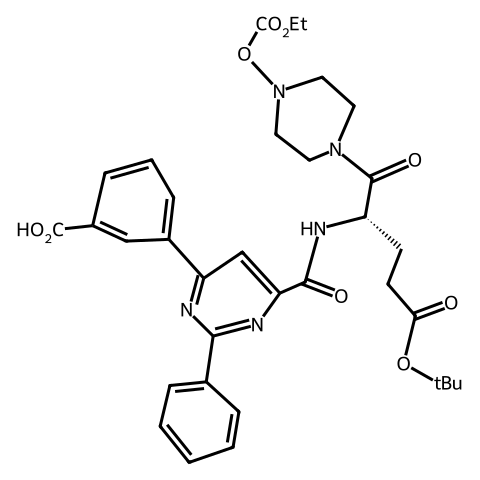 CCOC(=O)ON1CCN(C(=O)[C@H](CCC(=O)OC(C)(C)C)NC(=O)c2cc(-c3cccc(C(=O)O)c3)nc(-c3ccccc3)n2)CC1